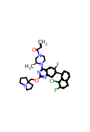 C=CC(=O)N1CCN(c2nc(OCC34CCCN3CCC4)nc3cc(-c4cccc5ccc(F)c(Cl)c45)c(F)cc23)[C@@H](C)C1